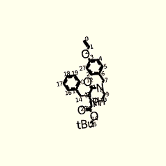 C=COc1ccc(CN(CC(C)C)C(=O)[C@H](Cc2ccccc2)NC(=O)OC(C)(C)C)cc1